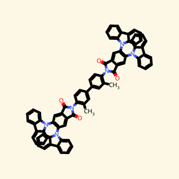 Cc1cc(-c2ccc(N3C(=O)c4cc(-n5c6ccccc6c6ccccc65)c(-n5c6ccccc6c6ccccc65)cc4C3=O)c(C)c2)ccc1N1C(=O)c2cc(-n3c4ccccc4c4ccccc43)c(-n3c4ccccc4c4ccccc43)cc2C1=O